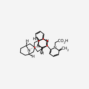 C=C1C=CC=C(c2nc3ccccc3n([C@H]3C[C@H]4CCC[C@@H](C3)N4[C@H]3C[C@@H]4CCC[C@@H](C4)C3)c2=O)N1CC(=O)O